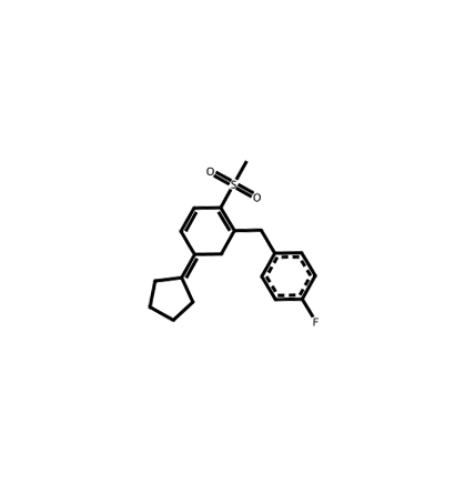 CS(=O)(=O)C1=C(Cc2ccc(F)cc2)CC(=C2CCCC2)C=C1